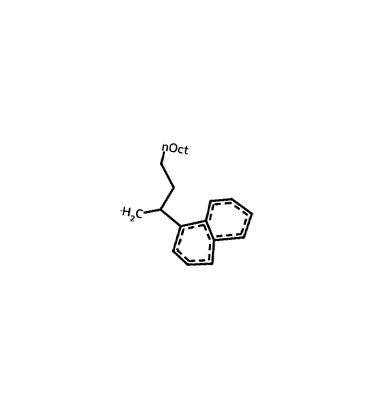 [CH2]C(CCCCCCCCCC)c1cccc2ccccc12